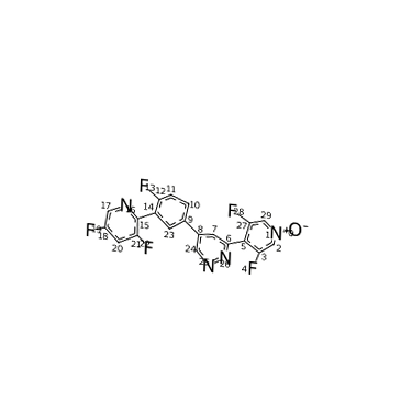 [O-][n+]1cc(F)c(-c2cc(-c3ccc(F)c(-c4ncc(F)cc4F)c3)cnn2)c(F)c1